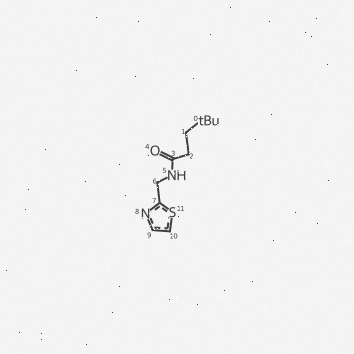 CC(C)(C)CCC(=O)NCc1nccs1